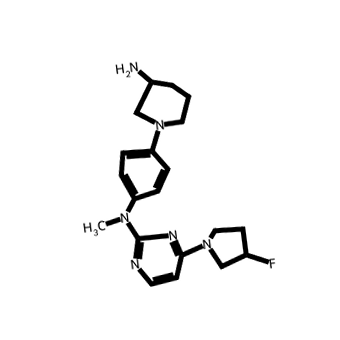 CN(c1ccc(N2CCCC(N)C2)cc1)c1nccc(N2CCC(F)C2)n1